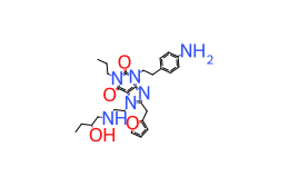 CCCn1c(=O)c2c(nc(Cc3ccco3)n2CCNCC(O)CC)n(CCc2ccc(N)cc2)c1=O